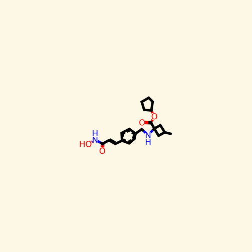 CC1CC(NCc2ccc(/C=C/C(=O)NO)cc2)(C(=O)OC2CCCC2)C1